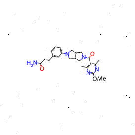 COc1nc(C)c(C(=O)N2CC3CN(c4cccc(CCC(N)=O)c4)CC3C2)c(C)n1